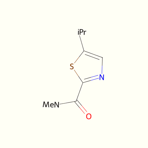 CNC(=O)c1ncc(C(C)C)s1